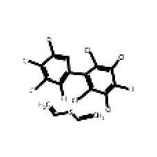 C=CSC=C.Clc1cc(-c2c(Cl)c(Cl)c(Cl)c(Cl)c2Cl)c(Cl)c(Cl)c1Cl